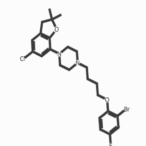 CC1(C)Cc2cc(Cl)cc(N3CCN(CCCCOc4ccc(F)cc4Br)CC3)c2O1